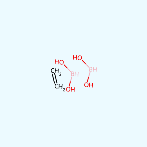 C=C.OBO.OBO